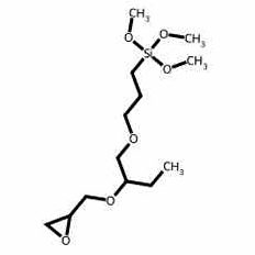 CCC(COCCC[Si](OC)(OC)OC)OCC1CO1